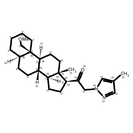 COC[C@]12CCCC[C@@H]1CC[C@H]1[C@@H]3CC[C@H](C(=O)Cn4cc(C)cn4)[C@@]3(C)CC[C@@H]12